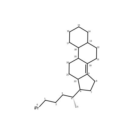 CC(C)CCC[C@@H](C)C1CCC2=C3CCC4CCCCC4C3CCC21